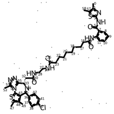 Cc1nc(NC(=O)c2ccccc2NC(=O)CCCCCCCCC(=O)NCCNC(=O)C[C@@H]2N=C(c3ccc(Cl)cc3)c3c(sc(C)c3C)-n3c(C)nnc32)sc1C